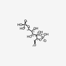 O=C[C@H](OP(=O)(O)O)[C@@H](O)[C@H](O)[C@H](O)COP(=O)(O)O